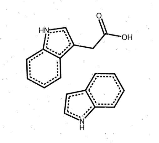 O=C(O)Cc1c[nH]c2ccccc12.c1ccc2[nH]ccc2c1